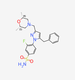 C[C@@H]1CN(Cc2cc(Cc3ccccc3)n(-c3ccc(S(N)(=O)=O)cc3F)n2)C[C@H](C)O1